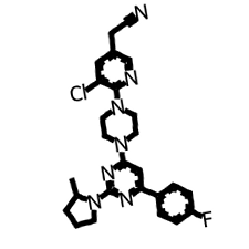 CC1CCCN1c1nc(-c2ccc(F)cc2)cc(N2CCN(c3ncc(CC#N)cc3Cl)CC2)n1